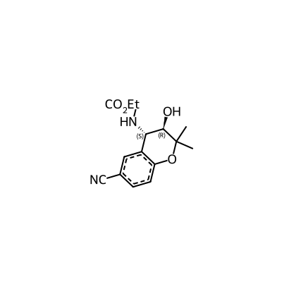 CCOC(=O)N[C@H]1c2cc(C#N)ccc2OC(C)(C)[C@@H]1O